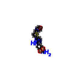 NS(=O)(=O)c1ccc(Nc2nccc(-c3ccc(CN4CCOCC4)s3)n2)cc1